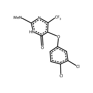 CNc1nc(C(F)(F)F)c(Oc2ccc(Cl)c(Cl)c2)c(=O)[nH]1